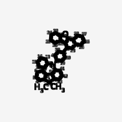 CC1(C)c2ccccc2-c2c(N(c3ccccc3)c3ccc(-c4cc5ccccc5c5oc6ccccc6c45)cc3)cccc21